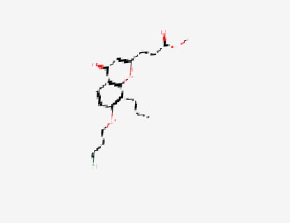 CCCc1c(OCCCCl)ccc2c(=O)cc(CCC(=O)OC)oc12